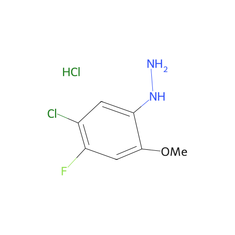 COc1cc(F)c(Cl)cc1NN.Cl